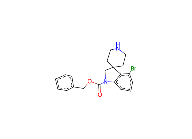 O=C(OCc1ccccc1)N1CC2(CCNCC2)c2c(Br)cccc21